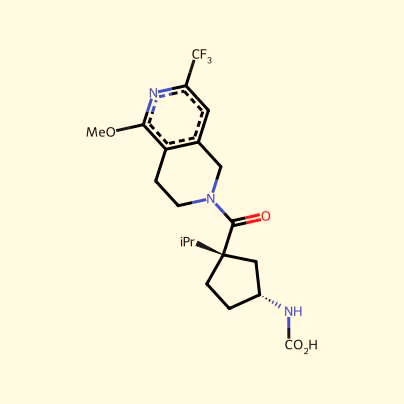 COc1nc(C(F)(F)F)cc2c1CCN(C(=O)[C@@]1(C(C)C)CC[C@@H](NC(=O)O)C1)C2